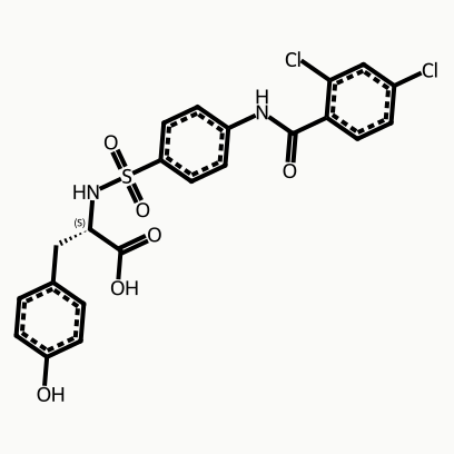 O=C(Nc1ccc(S(=O)(=O)N[C@@H](Cc2ccc(O)cc2)C(=O)O)cc1)c1ccc(Cl)cc1Cl